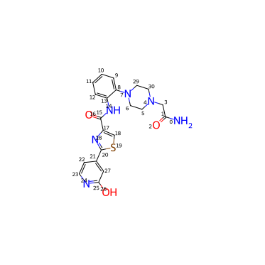 NC(=O)CN1CCN(c2ccccc2NC(=O)c2csc(-c3ccnc(O)c3)n2)CC1